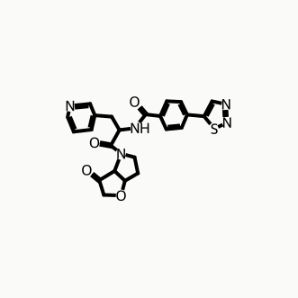 O=C(NC(Cc1cccnc1)C(=O)N1CCC2OCC(=O)C21)c1ccc(-c2cnns2)cc1